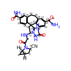 N#CC1C[C@@H]2C[C@@H]2N1C(=O)CNCCC1(c2n[nH]c(=O)[nH]2)c2ccc(C(N)=O)cc2CCc2cc(C(N)=O)ccc21